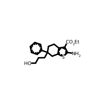 CCOC(=O)c1c(N)sc2c1CCC(CCCO)(c1ccccc1)C2